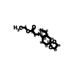 CCOC(=O)Cn1ncc2c1CCC1(C2)OCCO1